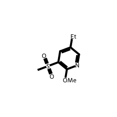 CCc1cnc(OC)c(S(C)(=O)=O)c1